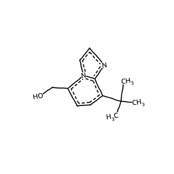 CC(C)(C)c1ccc(CO)n2ccnc12